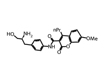 CCCc1c(C(=O)Nc2ccc(C[C@H](N)CO)cc2)c(=O)oc2cc(OC)ccc12